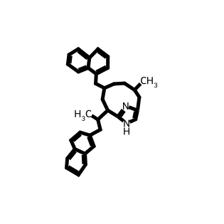 CC1CCC(Cc2cccc3ccccc23)CC(C(C)Cc2ccc3ccccc3c2)c2nc(c[nH]2)C1